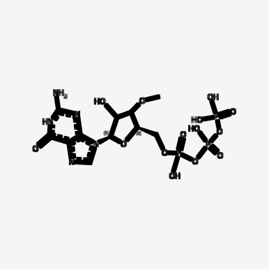 COC1C(O)[C@H](n2cnc3c(=O)[nH]c(N)nc32)O[C@@H]1COP(=O)(O)OP(=O)(O)OP(=O)(O)O